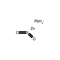 O=S=O.[PbH2].[Zn]